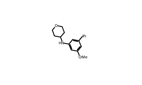 COc1cc(NC2CCOCC2)cc(C(C)C)c1